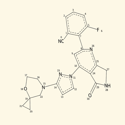 N#Cc1cccc(F)c1-c1cc(-n2ccc(N3CCOC4(CC4)C3)n2)c2c(n1)CNC2=O